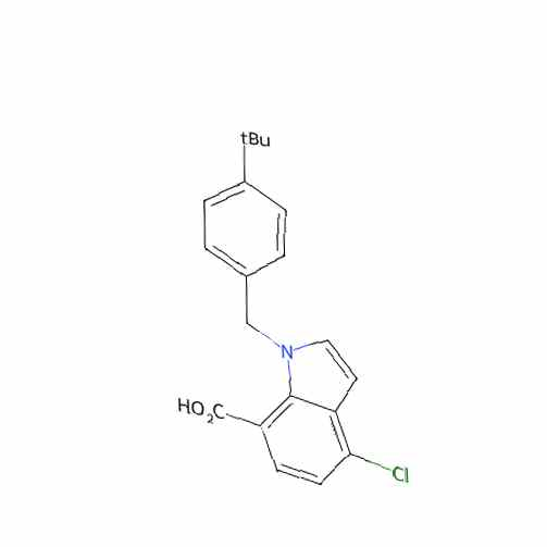 CC(C)(C)c1ccc(Cn2ccc3c(Cl)ccc(C(=O)O)c32)cc1